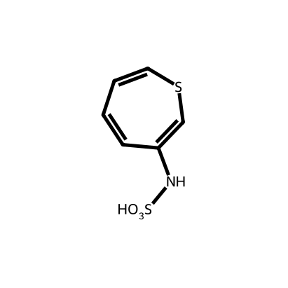 O=S(=O)(O)NC1=CSC=CC=C1